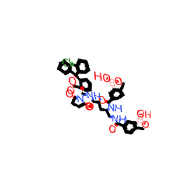 O=C(CCC(CNC(=O)c1ccc2c(c1)B(O)OC2)NC(=O)c1ccc2c(c1)B(O)OC2)N[C@@H](CC(=O)OC(c1ccccc1)(c1ccccc1)c1ccccc1Cl)N1C(=O)CCC1=O